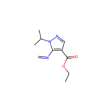 C=Nc1c(C(=O)OCC)cnn1C(C)C